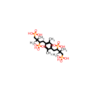 Cc1cc(CC(C(C)(C)CP(=O)(O)O)P(=O)(O)O)c(C)cc1CC(C(C)(C)CP(=O)(O)O)P(=O)(O)O